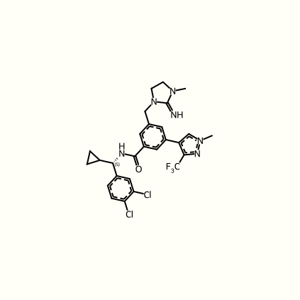 CN1CCN(Cc2cc(C(=O)N[C@H](c3ccc(Cl)c(Cl)c3)C3CC3)cc(-c3cn(C)nc3C(F)(F)F)c2)C1=N